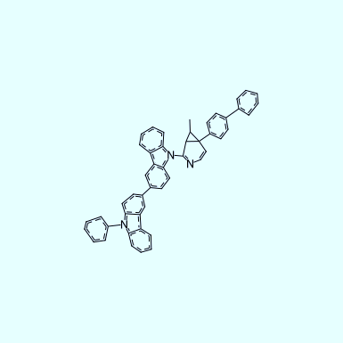 CC1C2C(n3c4ccccc4c4cc(-c5ccc6c(c5)c5ccccc5n6-c5ccccc5)ccc43)=NC=CC12c1ccc(-c2ccccc2)cc1